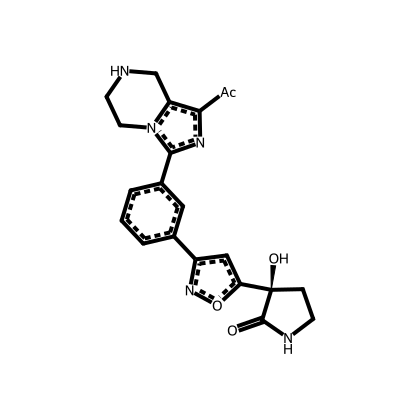 CC(=O)c1nc(-c2cccc(-c3cc([C@]4(O)CCNC4=O)on3)c2)n2c1CNCC2